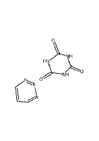 O=c1[nH]c(=O)[nH]c(=O)[nH]1.c1cnnnc1